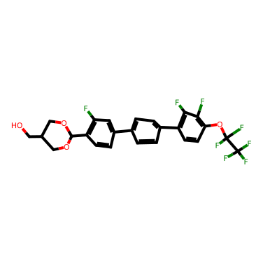 OCC1COC(c2ccc(-c3ccc(-c4ccc(OC(F)(F)C(F)(F)F)c(F)c4F)cc3)cc2F)OC1